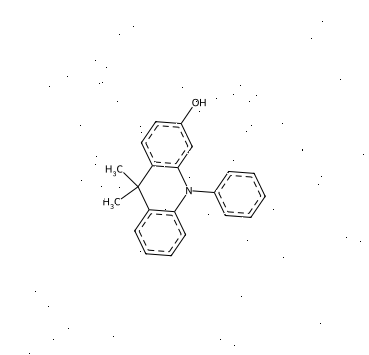 CC1(C)c2ccccc2N(c2ccccc2)c2cc(O)ccc21